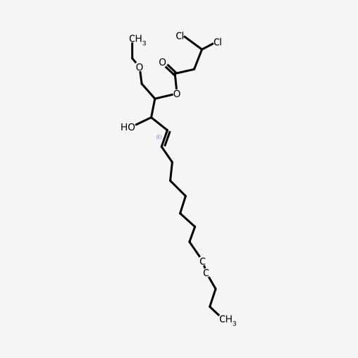 CCCCCCCCCCC/C=C/C(O)C(COCC)OC(=O)CC(Cl)Cl